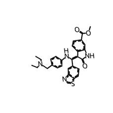 CCN(CC)Cc1ccc(NC(=C2C(=O)Nc3cc(C(=O)OC)ccc32)c2ccc3scnc3c2)cc1